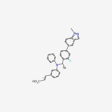 [2H]C(c1ccc(-c2ccc3c(cnn3C)c2)cc1F)N(c1ccccc1)c1cccc(/C=C/C(=O)O)c1